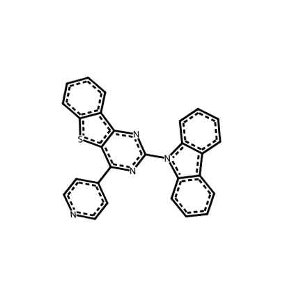 c1ccc2c(c1)sc1c(-c3ccncc3)nc(-n3c4ccccc4c4ccccc43)nc12